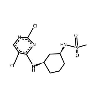 CS(=O)(=O)N[C@H]1CCC[C@@H](Nc2nc(Cl)ncc2Cl)C1